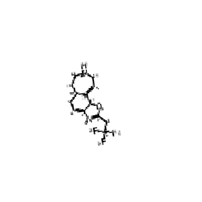 FC(F)(F)CC1=NC2=CCC3CCNCC=C3C2O1